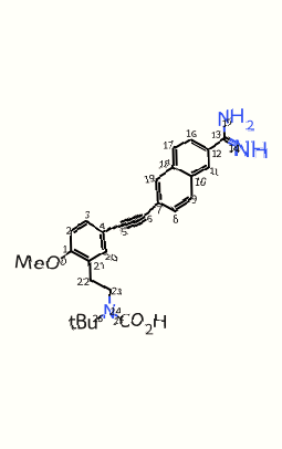 COc1ccc(C#Cc2ccc3cc(C(=N)N)ccc3c2)cc1CCN(C(=O)O)C(C)(C)C